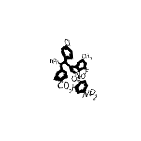 CCC[C@H](c1ccc(C(=O)O)cc1)C(c1ccc(Cl)cc1)c1cn(S(=O)(=O)c2ccc([N+](=O)[O-])cc2)c2c(F)cc(C)cc12